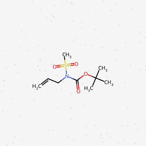 C=CCN(C(=O)OC(C)(C)C)S(C)(=O)=O